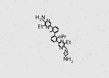 CCCc1c(-c2cnc(CN3CC(N)C3)c(CC)n2)cccc1-c1cccc(-c2cnc(CN)c(CC)n2)c1C